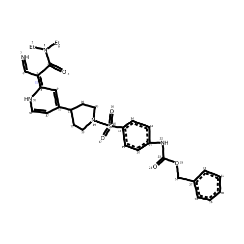 CCN(CC)C(=O)/C(C=N)=C1\C=C(C2CCN(S(=O)(=O)c3ccc(NC(=O)OCc4ccccc4)cc3)CC2)C=CN1